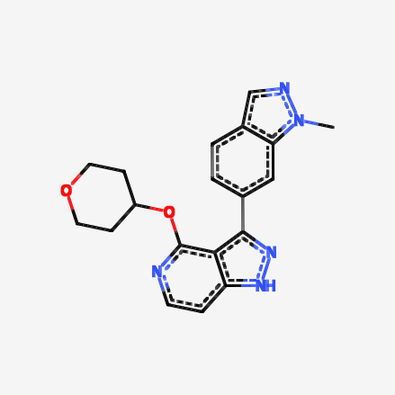 Cn1ncc2ccc(-c3n[nH]c4ccnc(OC5CCOCC5)c34)cc21